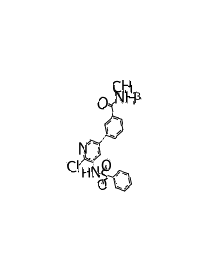 CNC(=O)c1cccc(-c2cnc(Cl)c(NS(=O)(=O)c3ccccc3)c2)c1